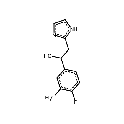 Cc1cc(C(O)Cc2ncc[nH]2)ccc1F